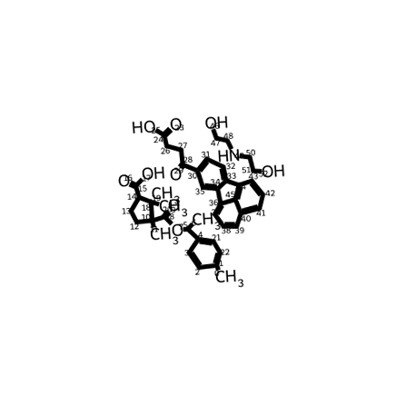 Cc1ccc(C(C)OC(=O)C2(C)CCC(C(=O)O)C2(C)C)cc1.O=C(O)CCC(=O)c1ccc2c(c1)-c1cccc3cccc-2c13.OCCNCCO